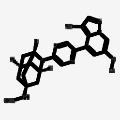 CCOc1cc(-c2cnc(N3[C@@H]4C[C@@H]5C[C@H]3C[C@@](NC=O)(C5)C4)cn2)c2c(C#N)cnn2c1